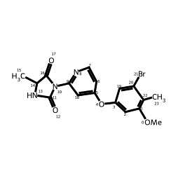 COc1cc(Oc2ccnc(N3C(=O)NC(C)C3=O)c2)cc(Br)c1C